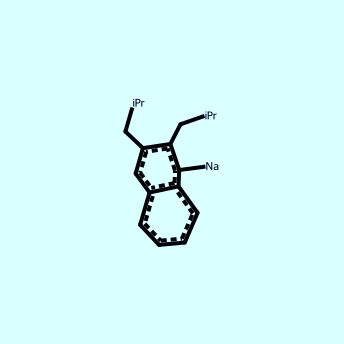 CC(C)Cc1cc2ccccc2[c]([Na])c1CC(C)C